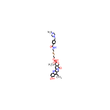 CCc1c2c(nc3ccc(O)cc13)-c1cc3c(c(=O)n1C2)COC(=O)[C@@]3(CC)OC(O)OCCSSCCNC(=O)c1ccc(CN2CCN(C)CC2)cc1